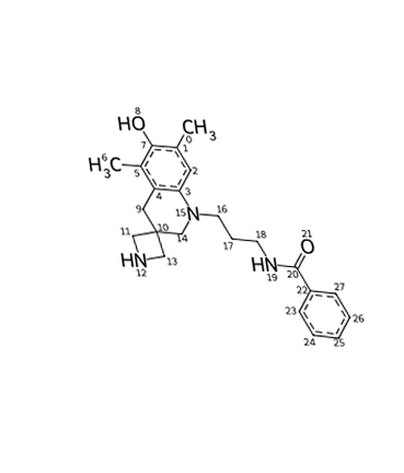 Cc1cc2c(c(C)c1O)CC1(CNC1)CN2CCCNC(=O)c1ccccc1